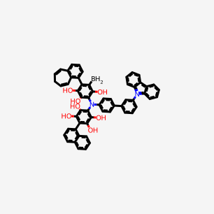 Bc1c(O)c(N(c2ccc(-c3cccc(-n4c5ccccc5c5ccccc54)c3)cc2)c2c(O)c(O)c(-c3cccc4ccccc34)c(O)c2O)c(O)c(O)c1-c1cccc2c1C=CCC=C2